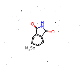 O=C1NC(=O)c2ccccc21.[SeH2]